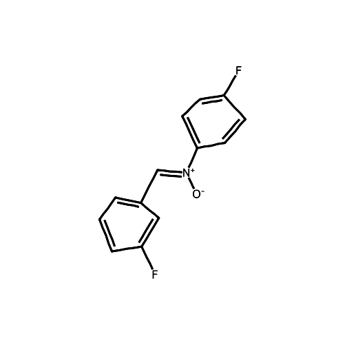 [O-][N+](=Cc1cccc(F)c1)c1ccc(F)cc1